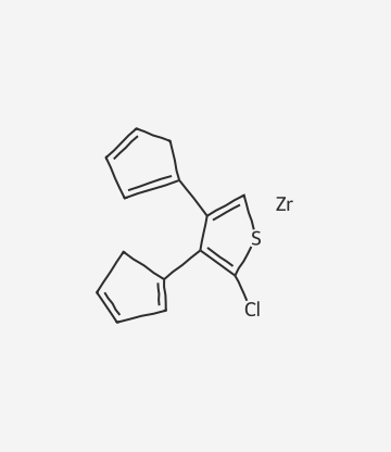 Clc1scc(C2=CC=CC2)c1C1=CC=CC1.[Zr]